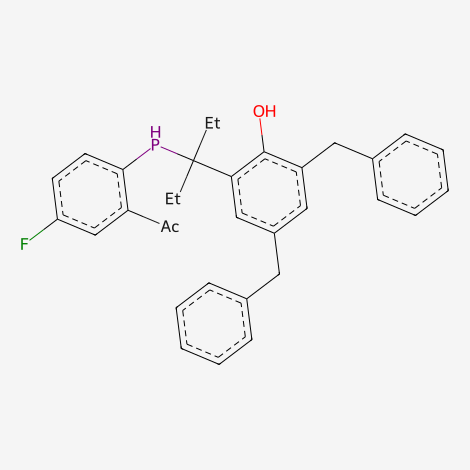 CCC(CC)(Pc1ccc(F)cc1C(C)=O)c1cc(Cc2ccccc2)cc(Cc2ccccc2)c1O